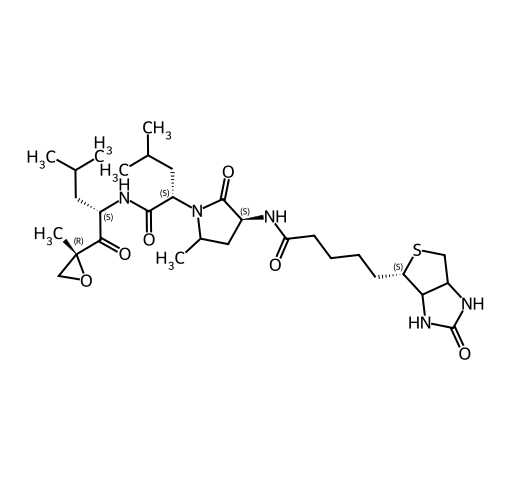 CC(C)C[C@H](NC(=O)[C@H](CC(C)C)N1C(=O)[C@@H](NC(=O)CCCC[C@@H]2SCC3NC(=O)NC32)CC1C)C(=O)[C@@]1(C)CO1